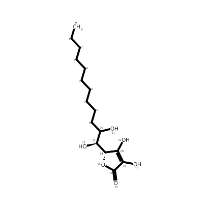 CCCCCCCCCCC(O)[C@H](O)[C@H]1OC(=O)C(O)=C1O